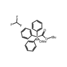 CO[SH](C(=O)OC(C)(C)C)(c1ccccc1)(c1ccccc1)c1ccccc1.FC(F)F